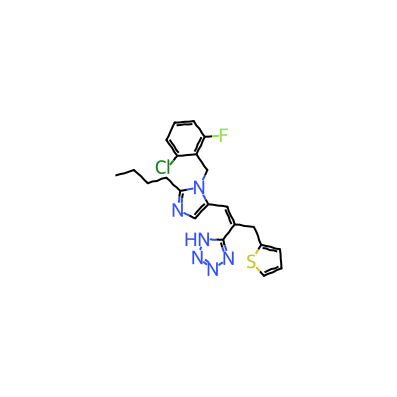 CCCCc1ncc(/C=C(/Cc2cccs2)c2nnn[nH]2)n1Cc1c(F)cccc1Cl